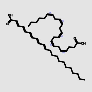 CCCCC/C=C\C/C=C\C/C=C\C/C=C\C/C=C\CCC(=O)O.CCCCCCCCCCCC=CC=CC=CC=CC=CC(=O)O